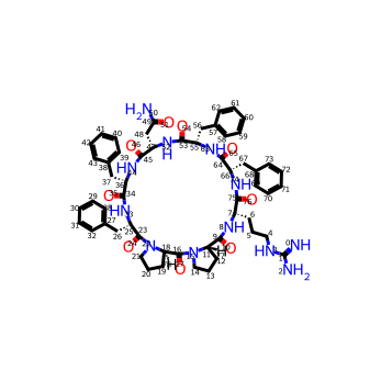 N=C(N)NCCC[C@@H]1NC(=O)[C@@H]2CCCN2C(=O)[C@H]2CCCN2C(=O)[C@H](Cc2ccccc2)NC(=O)[C@H](Cc2ccccc2)NC(=O)[C@H](CC(N)=O)NC(=O)[C@H](Cc2ccccc2)NC(=O)[C@H](Cc2ccccc2)NC1=O